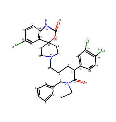 CCN(Cc1ccccc1)C(=O)C(CCCN1CCC2(CC1)OC(=O)Nc1ccc(F)cc12)c1ccc(Cl)c(Cl)c1